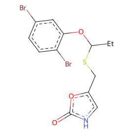 CCC(Oc1cc(Br)ccc1Br)SCc1c[nH]c(=O)o1